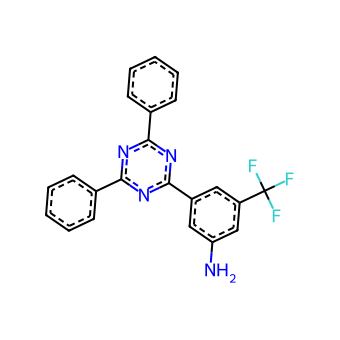 Nc1cc(-c2nc(-c3ccccc3)nc(-c3ccccc3)n2)cc(C(F)(F)F)c1